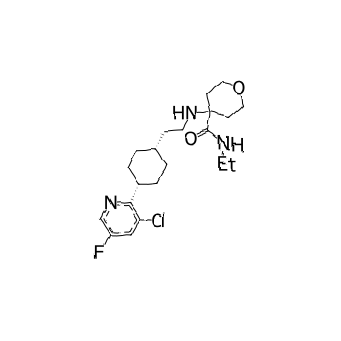 CCNC(=O)C1(NCC[C@H]2CC[C@@H](c3ncc(F)cc3Cl)CC2)CCOCC1